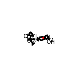 O=C(O)c1cc(N2C3CCC2CC2(CC(OCc4c(-c5c(Cl)cccc5Cl)noc4C4CC4)C2)C3)ccn1